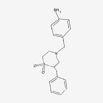 Bc1ccc(CN2CCS(=O)(=O)C(c3ccccc3)C2)cc1